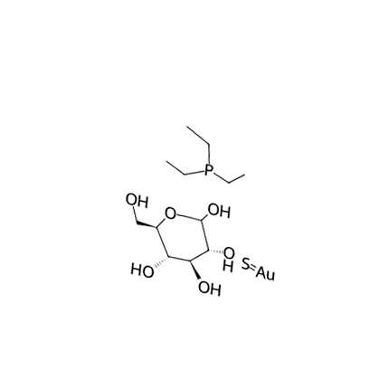 CCP(CC)CC.OC[C@H]1OC(O)[C@H](O)[C@@H](O)[C@@H]1O.[S]=[Au]